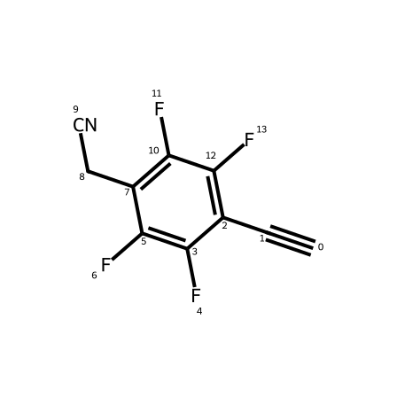 C#Cc1c(F)c(F)c(CC#N)c(F)c1F